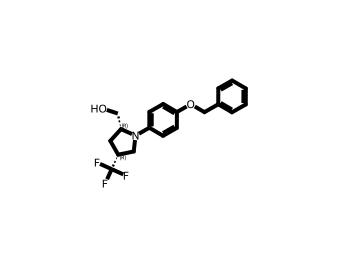 OC[C@H]1C[C@@H](C(F)(F)F)CN1c1ccc(OCc2ccccc2)cc1